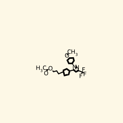 COc1ccc(-n2nc(C(F)(F)F)cc2-c2ccc(CCCOC(C)=O)cc2)cc1